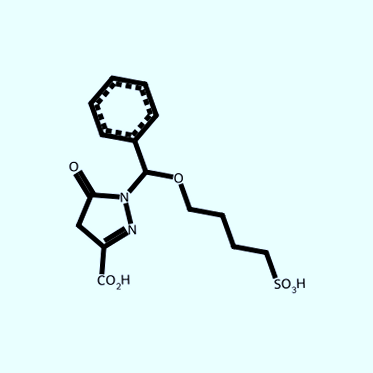 O=C(O)C1=NN(C(OCCCCS(=O)(=O)O)c2ccccc2)C(=O)C1